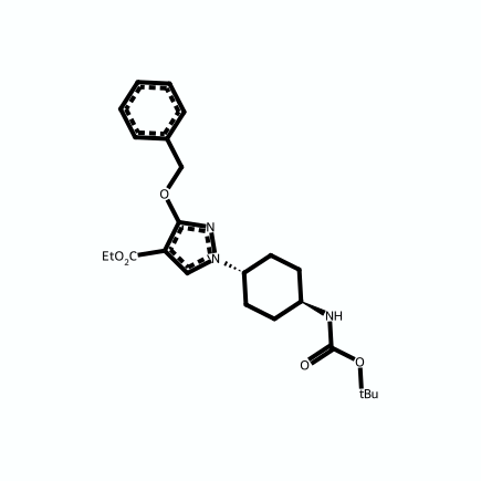 CCOC(=O)c1cn([C@H]2CC[C@H](NC(=O)OC(C)(C)C)CC2)nc1OCc1ccccc1